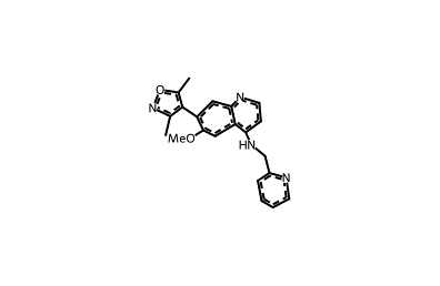 COc1cc2c(NCc3ccccn3)ccnc2cc1-c1c(C)noc1C